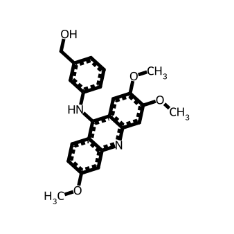 COc1ccc2c(Nc3cccc(CO)c3)c3cc(OC)c(OC)cc3nc2c1